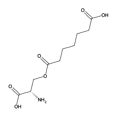 N[C@@H](COC(=O)CCCCCC(=O)O)C(=O)O